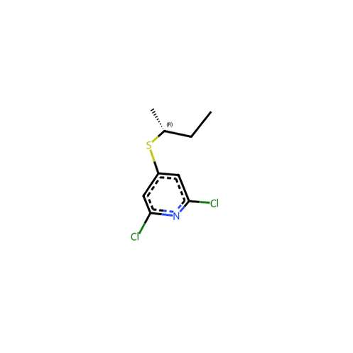 CC[C@@H](C)Sc1cc(Cl)nc(Cl)c1